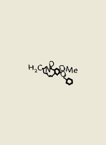 C=C1CC2C=Cc3cc(OCc4ccccc4)c(OC)cc3C(=O)N2C1